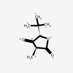 C[C@@H]1C(=O)O[C@@H](C(C)(C)C)C1=O